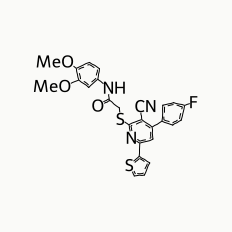 COc1ccc(NC(=O)CSc2nc(-c3cccs3)cc(-c3ccc(F)cc3)c2C#N)cc1OC